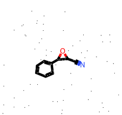 N#CC1OC1c1ccccc1